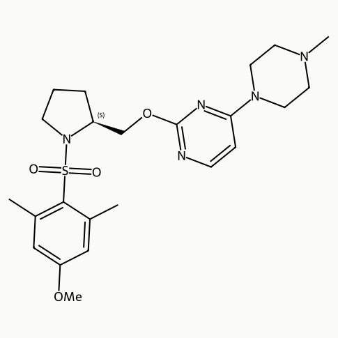 COc1cc(C)c(S(=O)(=O)N2CCC[C@H]2COc2nccc(N3CCN(C)CC3)n2)c(C)c1